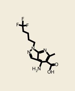 Cc1nc2c(cnn2CCCCC(F)(F)F)c(N)c1C(=O)O